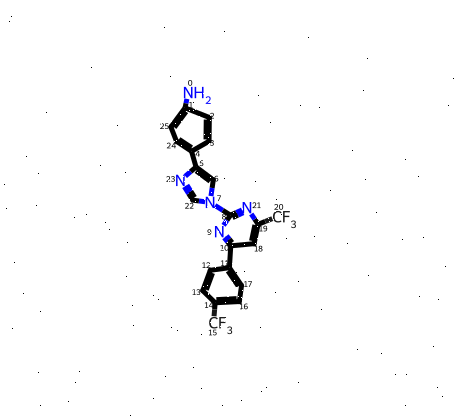 Nc1ccc(-c2cn(-c3nc(-c4ccc(C(F)(F)F)cc4)cc(C(F)(F)F)n3)cn2)cc1